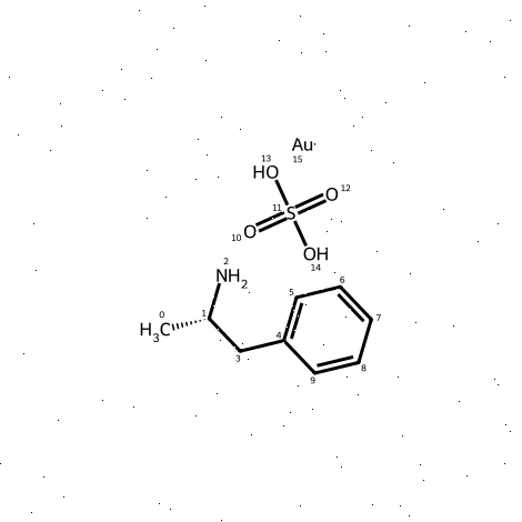 C[C@H](N)Cc1ccccc1.O=S(=O)(O)O.[Au]